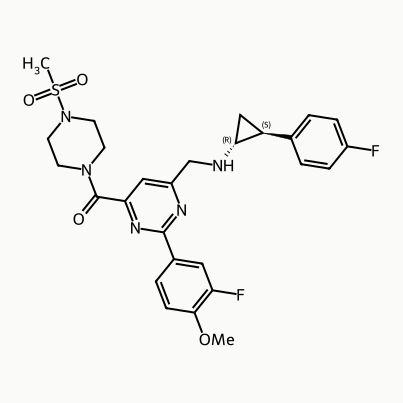 COc1ccc(-c2nc(CN[C@@H]3C[C@H]3c3ccc(F)cc3)cc(C(=O)N3CCN(S(C)(=O)=O)CC3)n2)cc1F